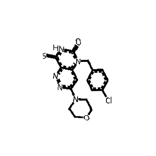 O=c1[nH]c(=S)c2nnc(N3CCOCC3)cc2n1Cc1ccc(Cl)cc1